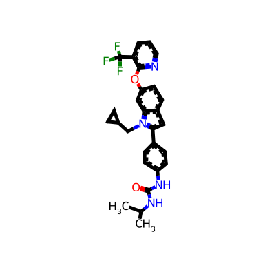 CC(C)NC(=O)Nc1ccc(-c2cc3ccc(Oc4ncccc4C(F)(F)F)cc3n2CC2CC2)cc1